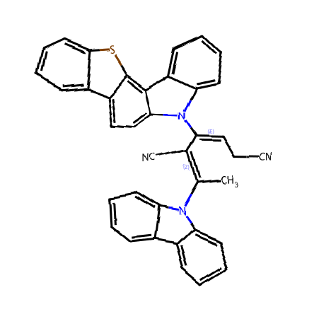 C/C(=C(C#N)\C(=C/CC#N)n1c2ccccc2c2c3sc4ccccc4c3ccc21)n1c2ccccc2c2ccccc21